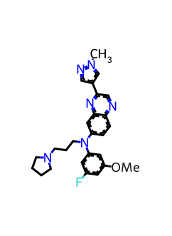 COc1cc(F)cc(N(CCCN2CCCC2)c2ccc3ncc(-c4cnn(C)c4)nc3c2)c1